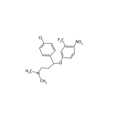 CN(C)CCC(Oc1ccc([N+](=O)[O-])c(C(F)(F)F)c1)c1ccc(Cl)cc1